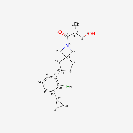 CC[C@H](CO)C(=O)N1CC2(CC[C@H](c3cccc(C4CC4)c3F)C2)C1